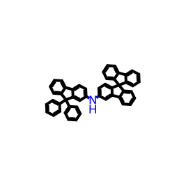 c1ccc(C2(c3ccccc3)c3ccccc3-c3ccc(Nc4ccc5c(c4)-c4ccccc4C54c5ccccc5-c5ccccc54)cc32)cc1